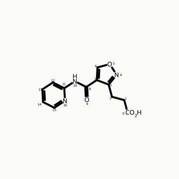 O=C(O)CCc1nocc1C(=O)Nc1ccccn1